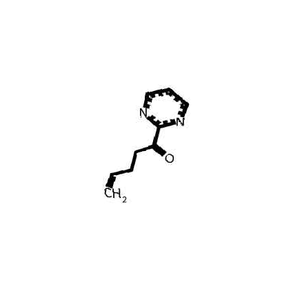 C=CCCC(=O)c1ncccn1